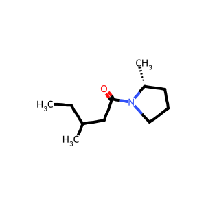 CCC(C)CC(=O)N1CCC[C@H]1C